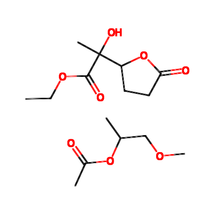 CCOC(=O)C(C)(O)C1CCC(=O)O1.COCC(C)OC(C)=O